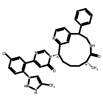 C[C@@H]1CCC[C@H](n2cnc(-c3cc(Cl)ccc3N3C=C(C(F)(F)F)NN3)cc2=O)c2cc(ccn2)C(c2ccccc2)CNC1=O